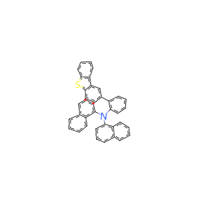 c1ccc(N(c2cccc3ccccc23)c2cccc3ccccc23)c(-c2ccc3sc4ccccc4c3c2)c1